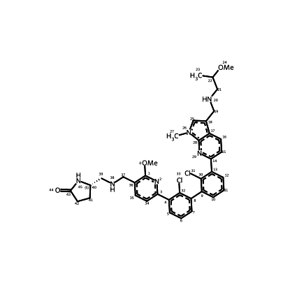 COc1nc(-c2cccc(-c3cccc(-c4ccc5c(CNCC(C)OC)cn(C)c5n4)c3Cl)c2Cl)ccc1CNC[C@@H]1CCC(=O)N1